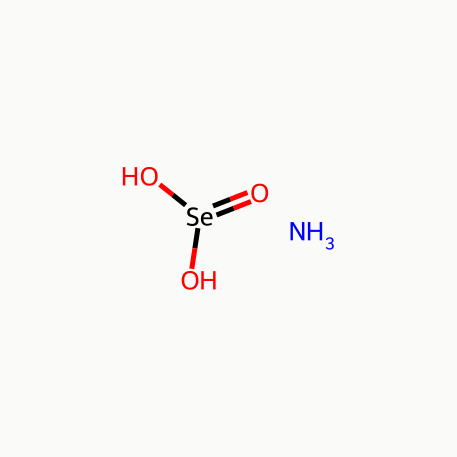 N.O=[Se](O)O